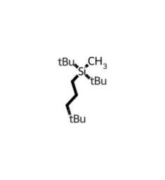 CC(C)(C)CCC[Si](C)(C(C)(C)C)C(C)(C)C